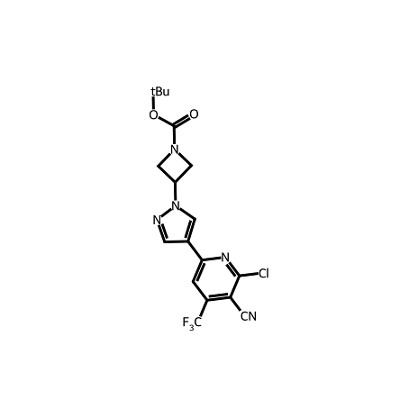 CC(C)(C)OC(=O)N1CC(n2cc(-c3cc(C(F)(F)F)c(C#N)c(Cl)n3)cn2)C1